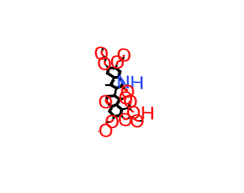 COCOc1cc2[nH]c(=O)c(-c3coc4cc(OCOC)c(OCOC)c(C(=O)O)c4c3=O)c(C)c2cc1OCOC